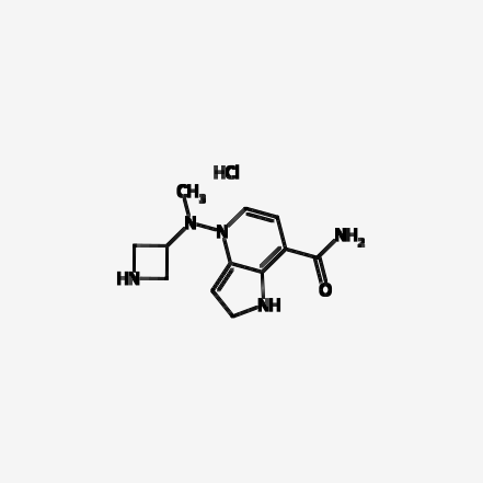 CN(C1CNC1)N1C=CC(C(N)=O)=C2NCC=C21.Cl